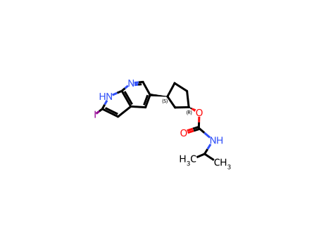 CC(C)NC(=O)O[C@@H]1CC[C@H](c2cnc3[nH]c(I)cc3c2)C1